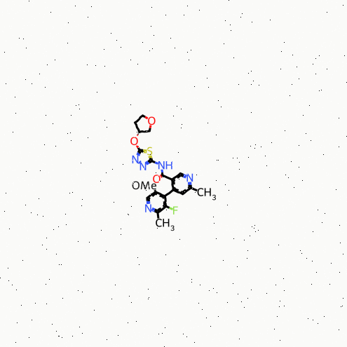 COc1cnc(C)c(F)c1-c1cc(C)ncc1C(=O)Nc1nnc(O[C@@H]2CCOC2)s1